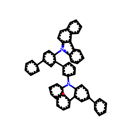 c1ccc(-c2ccc(N(c3ccccc3)c3cccc(-c4cc(-c5ccccc5)ccc4-n4c5ccccc5c5c6ccccc6ccc54)c3)c(-c3ccccc3)c2)cc1